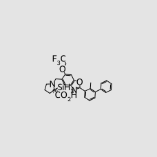 Cc1c(-c2ccccc2)cccc1-c1nc2cc(CN3CCC[C@@]3([SiH3])C(=O)O)c(OCC(F)(F)F)cc2o1